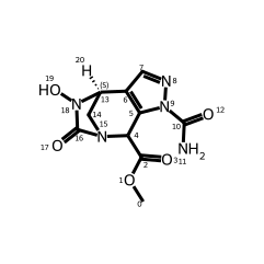 COC(=O)C1c2c(cnn2C(N)=O)[C@H]2CN1C(=O)N2O